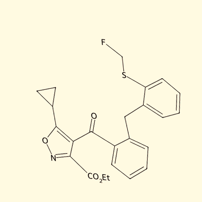 CCOC(=O)c1noc(C2CC2)c1C(=O)c1ccccc1Cc1ccccc1SCF